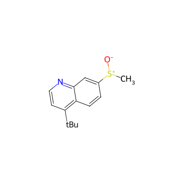 C[S+]([O-])c1ccc2c(C(C)(C)C)ccnc2c1